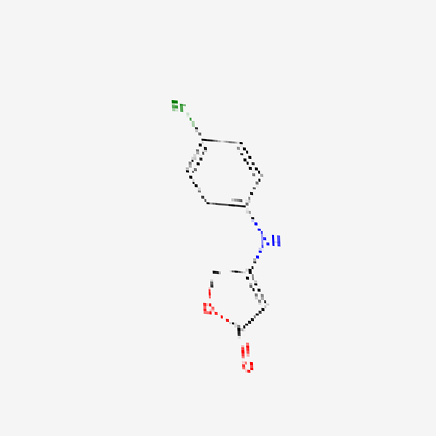 O=C1C=C(Nc2ccc(Br)cc2)CO1